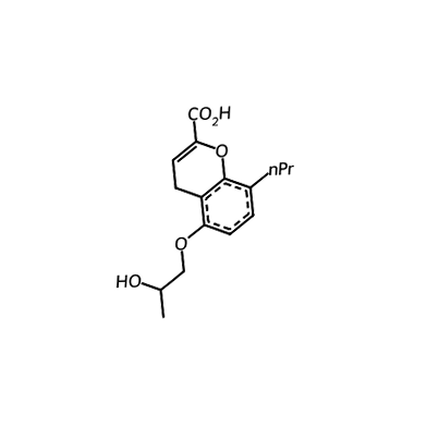 CCCc1ccc(OCC(C)O)c2c1OC(C(=O)O)=CC2